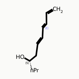 C=C/C=C/C=CC[C@@H](O)CCC